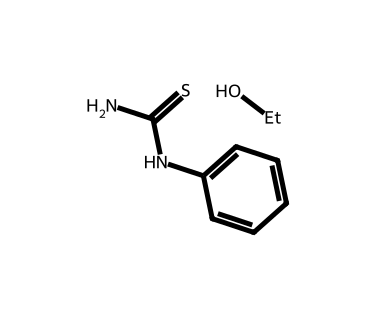 CCO.NC(=S)Nc1ccccc1